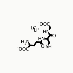 NC(CCC(=O)NC(CS)C(=O)NCC(=O)[O-])C(=O)[O-].[Li+].[Li+]